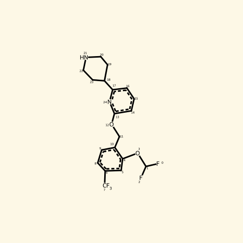 FC(F)Oc1cc(C(F)(F)F)ccc1COc1cccc(C2CCNCC2)n1